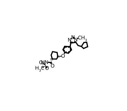 Cn1nnc(-c2ccc(O[C@@H]3CCC[C@@H](C(=O)NS(C)(=O)=O)C3)cc2)c1C[C]1CCCC1